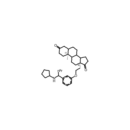 CCCC(NC1CCCC1)c1cccc(OCC[C@]23CCC4C(CCC5CC(=O)CC[C@@]54C)C2CCC3=O)c1